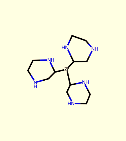 C1CN[CH]([Zr]([CH]2CNCCN2)[CH]2CNCCN2)CN1